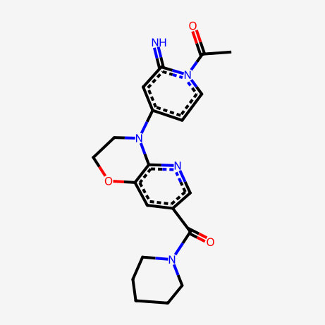 CC(=O)n1ccc(N2CCOc3cc(C(=O)N4CCCCC4)cnc32)cc1=N